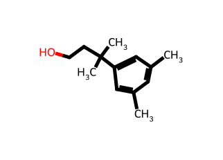 Cc1cc(C)cc(C(C)(C)CCO)c1